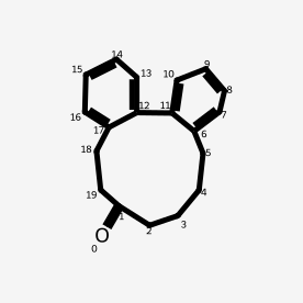 O=C1CCCCc2ccccc2-c2ccccc2CC1